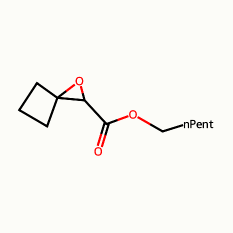 CCCCCCOC(=O)C1OC12CCC2